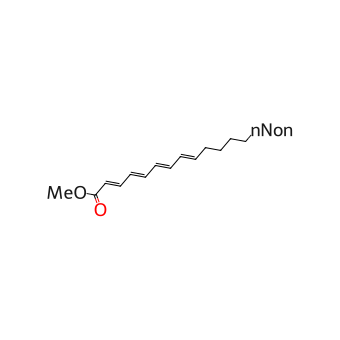 CCCCCCCCCCCCCC=CC=CC=CC=CC(=O)OC